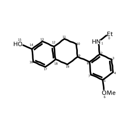 CCNc1ccc(OC)cc1C1CCc2cc(O)ccc2C1